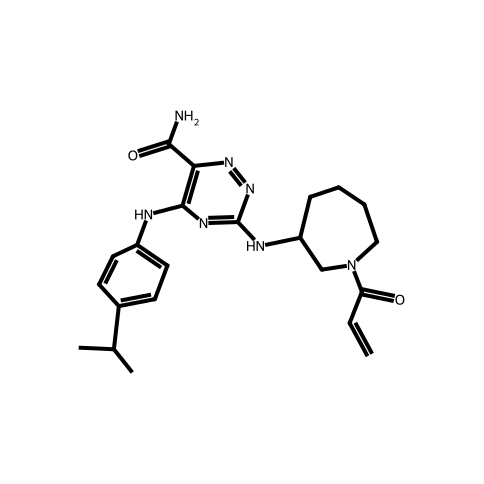 C=CC(=O)N1CCCCC(Nc2nnc(C(N)=O)c(Nc3ccc(C(C)C)cc3)n2)C1